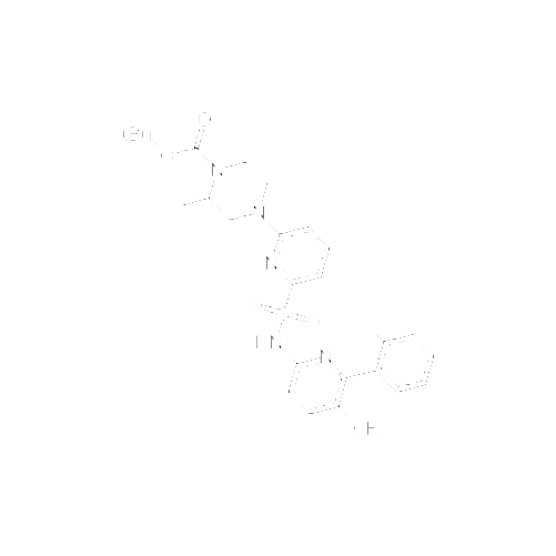 Cc1ccccc1-c1nc(NS(=O)(=O)c2cccc(N3CCN(C(=O)OC(C)(C)C)C(C)C3)n2)ccc1C(F)(F)F